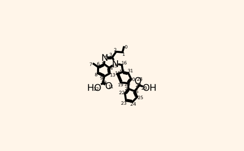 CCCc1nc2c(C)cc(C(=O)O)cc2n1Cc1ccc(-c2ccccc2C(=O)O)cc1